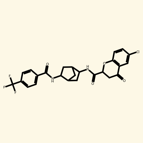 O=C(NC1CC2CC1CC2NC(=O)C1CC(=O)c2cc(Cl)ccc2O1)c1ccc(C(F)(F)F)cc1